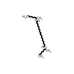 CCCCCCC(C)OC(=O)CCCCCCCC=CCCCCCCCC(=O)OC(C)CCCCCC